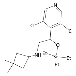 CC[Si](CC)(CC)OC(CNC1CC(C)(C)C1)c1c(Cl)cncc1Cl